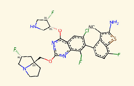 N#Cc1c(N)sc2c(F)ccc(-c3c(Cl)cc4c(O[C@@H]5CNC[C@@H]5F)nc(OC[C@@]56CCCN5C[C@H](F)C6)nc4c3F)c12